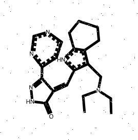 CCN(CC)Cc1c(/C=C2/C(=O)NN=C2c2ccncn2)[nH]c2c1CCCC2